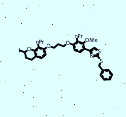 CCCc1c(OCCCOc2ccc(-c3csc(SCc4ccccc4)n3)c(OC)c2CCC)ccc2c1OC(I)CC2